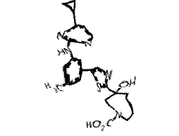 Cc1cc(Nc2nccc(C3CC3)n2)cc(-c2cnc([C@]3(O)CCCN(C(=O)O)CC3)s2)c1